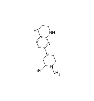 CC(C)C1CN(c2ccc3c(n2)NCCN3)CCN1N